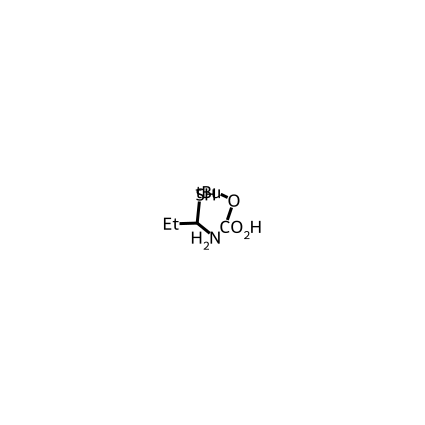 CC(C)(C)OC(=O)O.CCC(N)S